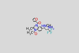 CNC(CC(N)C(F)(F)F)c1ccc2c(c1)N(C(=O)c1ccco1)C[C@H](C)N2C(C)=O